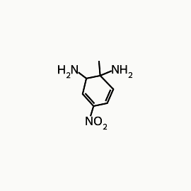 CC1(N)C=CC([N+](=O)[O-])=CC1N